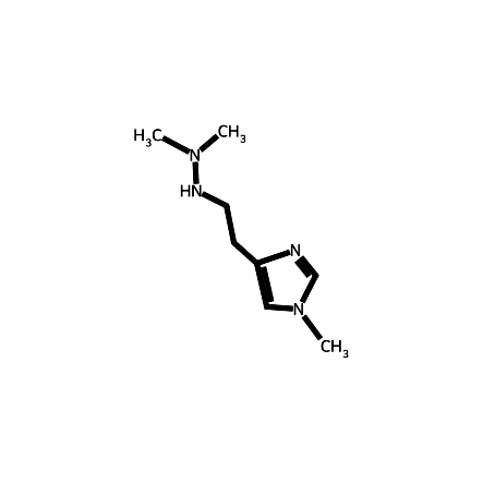 CN(C)NCCc1cn(C)cn1